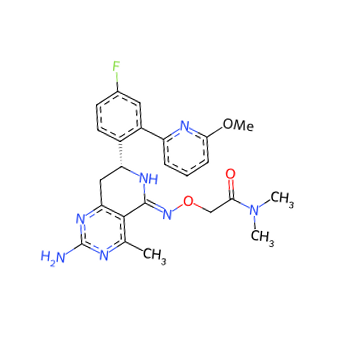 COc1cccc(-c2cc(F)ccc2[C@H]2Cc3nc(N)nc(C)c3/C(=N/OCC(=O)N(C)C)N2)n1